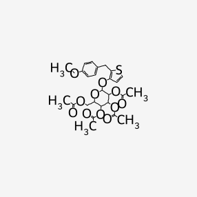 COc1ccc(Cc2sccc2OC2OC(COC(C)=O)C(OC(C)=O)C(OC(C)=O)C2OC(C)=O)cc1